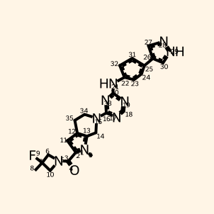 Cn1c(C(=O)N2CC(C)(F)C2)cc2c1CN(c1ncnc(Nc3ccc(-c4cn[nH]c4)cc3)n1)CC2